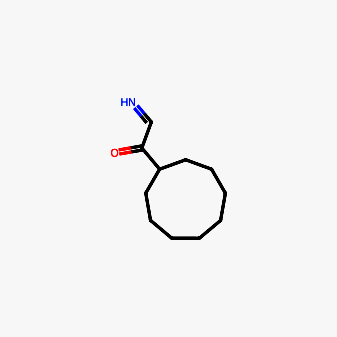 N=CC(=O)C1CCCCCCCC1